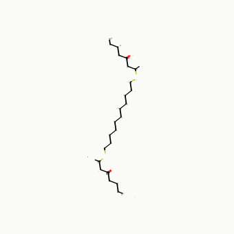 CCCCC(=O)CC(C)SCCCCCCCCCCCSC(C)CC(=O)CCCC